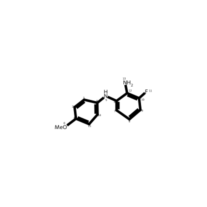 COc1ccc(Nc2cccc(F)c2N)cc1